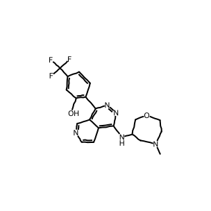 CN1CCOCC(Nc2nnc(-c3ccc(C(F)(F)F)cc3O)c3cnccc23)C1